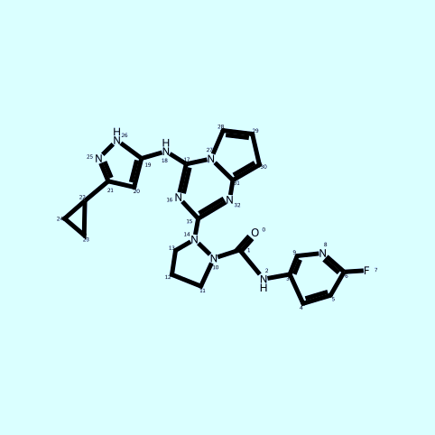 O=C(Nc1ccc(F)nc1)N1CCCN1c1nc(Nc2cc(C3CC3)n[nH]2)n2cccc2n1